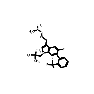 CN(C)SNCc1cn(CC(C)(C)C)c2cc(-c3ccccc3C(F)(F)F)c(F)cc12